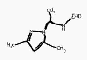 Cc1cc(C)n(C(NC=O)C(Cl)(Cl)Cl)n1